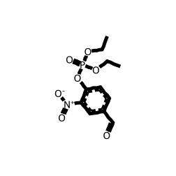 CCOP(=O)(OCC)Oc1ccc(C=O)cc1[N+](=O)[O-]